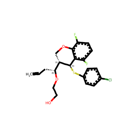 C=CC[C@@H](OCCO)[C@@H]1COc2c(F)ccc(F)c2[C@H]1Sc1ccc(Cl)cc1